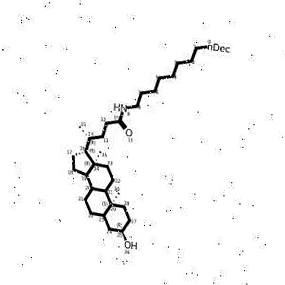 CCCCCCCCCCCCCCCCCCNC(=O)CC[C@@H](C)[C@H]1CCC2C3CCC4C[C@H](O)CC[C@]4(C)C3CC[C@@]21C